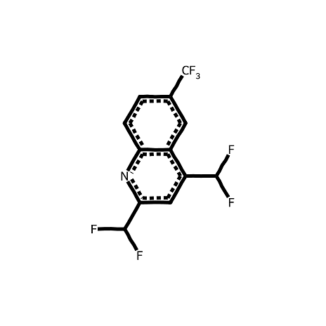 FC(F)c1cc(C(F)F)c2cc(C(F)(F)F)ccc2n1